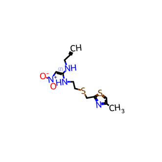 C#CCN/C(=C/[N+](=O)[O-])NCCSCc1nc(C)cs1